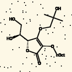 CCCCCCCCOC1=C(OCC(C)(C)O)[C@@H]([C@@H](O)CO)OC1=O